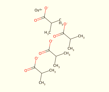 CC(C)C(=O)[O-].CC(C)C(=O)[O-].CC(C)C(=O)[O-].CC(C)C(=O)[O-].[Os+4]